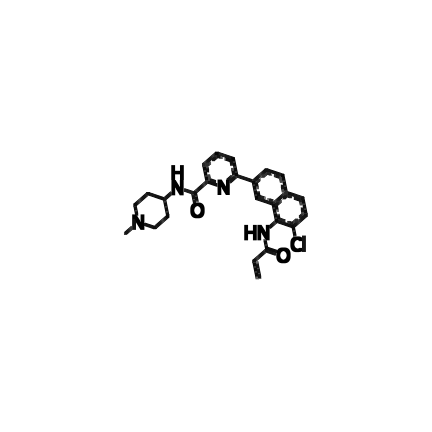 C=CC(=O)Nc1c(Cl)ccc2ccc(-c3cccc(C(=O)NC4CCN(C)CC4)n3)cc12